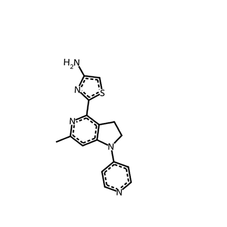 Cc1cc2c(c(-c3nc(N)cs3)n1)CCN2c1ccncc1